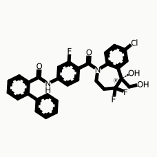 O=C(Nc1ccc(C(=O)N2CCC(F)(F)[C@](O)(CO)c3cc(Cl)ccc32)c(F)c1)c1ccccc1-c1ccccc1